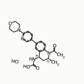 CC(=O)N1c2ccc(-c3ccc(N4CCOCC4)nc3)cc2[C@H](NC(=O)O)C[C@@H]1C.Cl